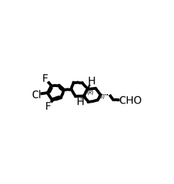 O=CCC[C@@H]1CC[C@@H]2CC(c3cc(F)c(Cl)c(F)c3)CC[C@@H]2C1